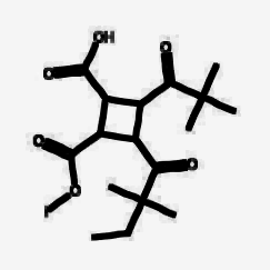 CCC(C)(C)C(=O)C1C(C(=O)OI)C(C(=O)O)C1C(=O)C(C)(C)C